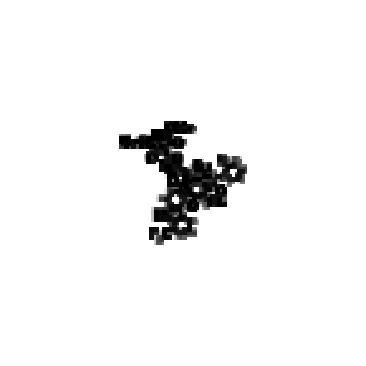 CCC(C)[C@H](NC(=O)Cc1ccccc1F)C(=O)N[C@]1(C(=O)N[C@H](c2nnc(N(C(=O)NOC)C(=O)NOC)o2)C(C)CC)CCc2[nH]c3c(C(F)(F)F)cccc3c2C1